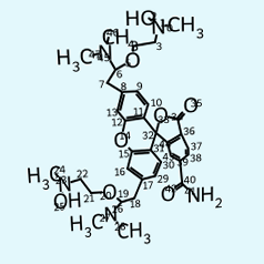 CN(O)CCOC(Cc1ccc2c(c1)Oc1cc(CC(OCCN(C)O)N(C)C)ccc1C21OC(=O)c2ccc(C(N)=O)cc21)N(C)C